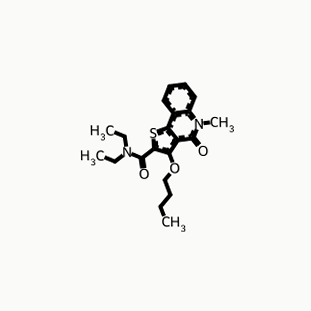 CCCCOc1c(C(=O)N(CC)CC)sc2c1c(=O)n(C)c1ccccc21